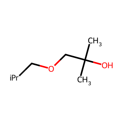 CC(C)COCC(C)(C)O